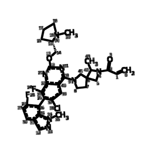 C=CC(=O)N1CC2(CCN(c3nc(OC[C@@H]4CCCN4C)nc4c(F)c(-c5c(F)ccc6cnn(C)c56)c(Cl)cc34)C2)C1C